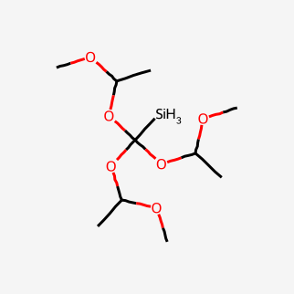 COC(C)OC([SiH3])(OC(C)OC)OC(C)OC